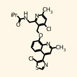 Cc1cc(Cl)c(COc2cccc3c(-c4ncsc4Cl)cc(C)nc23)c(CNC(=O)C(C)C)n1